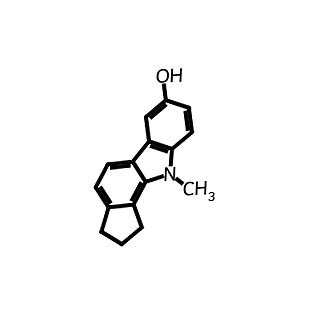 Cn1c2ccc(O)cc2c2ccc3c(c21)CCC3